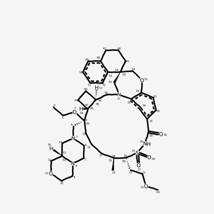 CCO[C@]1(CN2CCN3CCOC[C@@H]3C2)CCC[C@H](C)[C@@H](CCOC)S(=O)(=O)NC(=O)c2ccc3c(c2)N(C[C@@H]2CC[C@H]21)C[C@@]1(CCCc2ccccc21)CO3